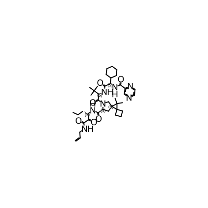 C=CCNC(=O)C(=O)[C@H](CCC)NC(=O)[C@@H]1C[C@@]2(CN1C(=O)[C@@H](NC(=O)[C@@H](NC(=O)c1cnccn1)C1CCCCC1)C(C)(C)C)C(C)(C)C21CCC1